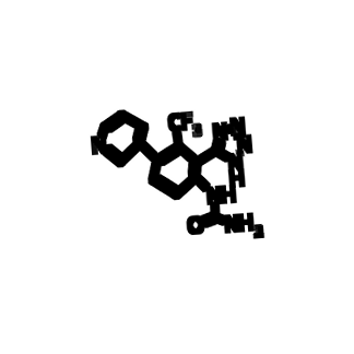 NC(=O)Nc1ccc(-c2cccnc2)c(C(F)(F)F)c1-c1nnn[nH]1